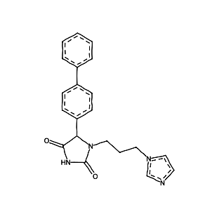 O=C1NC(=O)N(CCCn2ccnc2)C1c1ccc(-c2ccccc2)cc1